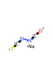 O=C=NN=C=S.[Na]